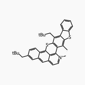 Cc1c2c(c(CC(C)(C)C)c3c1sc1ccccc13)Sc1c3ccc(CC(C)(C)C)cc3cc3cc[n+](C)c-2c13